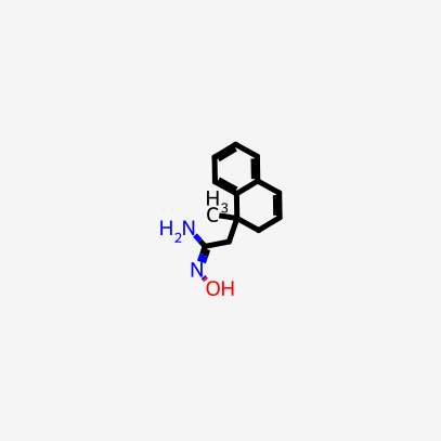 CC1(C/C(N)=N\O)CC=Cc2ccccc21